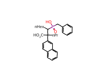 CCCCCCC(C(CCC)(C(=O)O)c1ccc2ccccc2c1)P(=O)(O)Cc1ccccc1